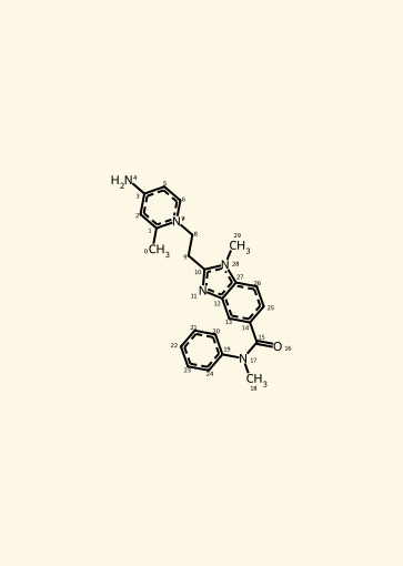 Cc1cc(N)cc[n+]1CCc1nc2cc(C(=O)N(C)c3ccccc3)ccc2n1C